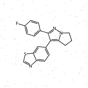 Fc1ccc(-c2nn3c(c2-c2ccc4ncsc4c2)CCC3)cc1